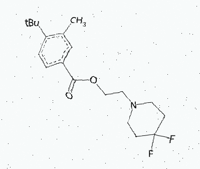 Cc1cc(C(=O)OCCN2CCC(F)(F)CC2)ccc1C(C)(C)C